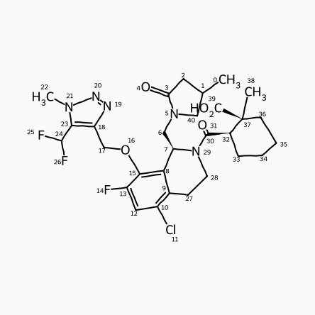 CC1CC(=O)N(C[C@@H]2c3c(c(Cl)cc(F)c3OCc3nnn(C)c3C(F)F)CCN2C(=O)[C@@H]2CCCC[C@]2(C)C(=O)O)C1